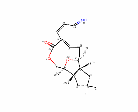 CC1(C)C[C@@H]2[C@H](C1)[C@H]1COC(=O)C(/C=C\C=N)=C/C[C@@H]2O1